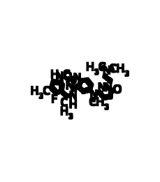 Cc1nc(N[C@H](C)c2cc([N+](=O)[O-])cc(C)c2F)c2cc(N(C)c3ccc(=O)n(CCN(C)C)n3)ccc2n1